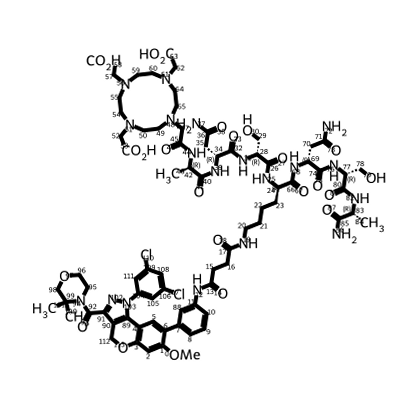 COc1cc2c(cc1-c1cccc(NC(=O)CCC(=O)NCCCC[C@@H](NC(=O)[C@@H](CO)NC(=O)[C@@H](CC(N)=O)NC(=O)[C@@H](C)NC(=O)CN3CCN(CC(=O)O)CCN(CC(=O)O)CCN(CC(=O)O)CC3)C(=O)N[C@H](CC(N)=O)C(=O)N[C@H](CO)C(=O)N[C@H](C)C(N)=O)c1)-c1c(c(C(=O)N3CCOCC3(C)C)nn1-c1cc(Cl)cc(Cl)c1)CO2